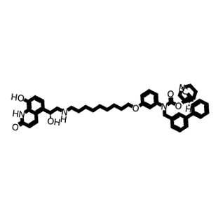 O=C(O[C@H]1CN2CCC1CC2)N(Cc1cccc(-c2ccccc2)c1)c1cccc(OCCCCCCCCCNC[C@H](O)c2ccc(O)c3[nH]c(=O)ccc23)c1